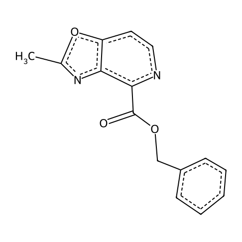 Cc1nc2c(C(=O)OCc3ccccc3)nccc2o1